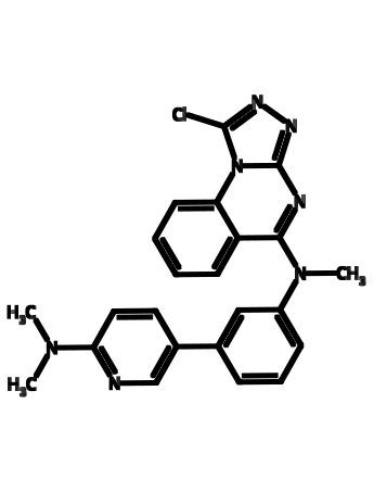 CN(C)c1ccc(-c2cccc(N(C)c3nc4nnc(Cl)n4c4ccccc34)c2)cn1